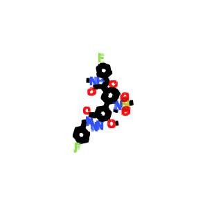 CNC(=O)c1c(-c2ccc(F)cc2)oc2cc(N(C)S(C)(=O)=O)c(-c3cc(OC)c4nnn(Cc5ccc(F)cc5)c(=O)c4c3)cc12